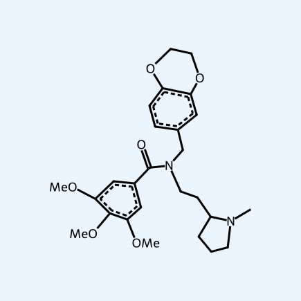 COc1cc(C(=O)N(CCC2CCCN2C)Cc2ccc3c(c2)OCCO3)cc(OC)c1OC